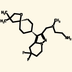 CN(CCN)Cc1nn2c(c1[C@H]1CC[C@]3(CC1)CC(C)(C)CO3)CC(F)(F)CC2